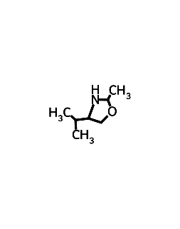 CC1NC(C(C)C)CO1